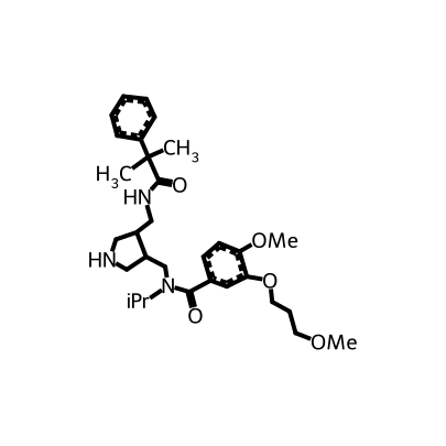 COCCCOc1cc(C(=O)N(CC2CNCC2CNC(=O)C(C)(C)c2ccccc2)C(C)C)ccc1OC